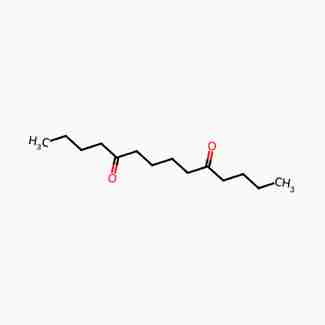 CCCCC(=O)CCCCC(=O)CCCC